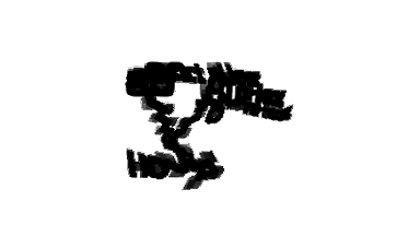 CCCCCCCCOC(CCCCCN(CCCCC(COCCCCCC)C(=O)NCC(CCCCCC)CCCCCC)CCN(CCO)C1CCC1)OCCCCCCCC